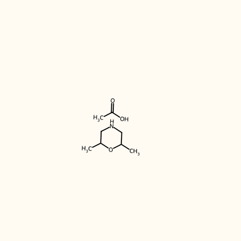 CC(=O)O.CC1CNCC(C)O1